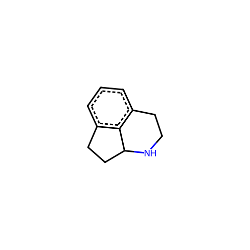 c1cc2c3c(c1)CCC3NCC2